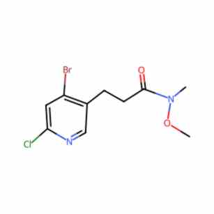 CON(C)C(=O)CCc1cnc(Cl)cc1Br